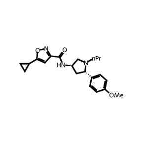 CCCN1C[C@H](NC(=O)c2cc(C3CC3)on2)C[C@H]1c1ccc(OC)cc1